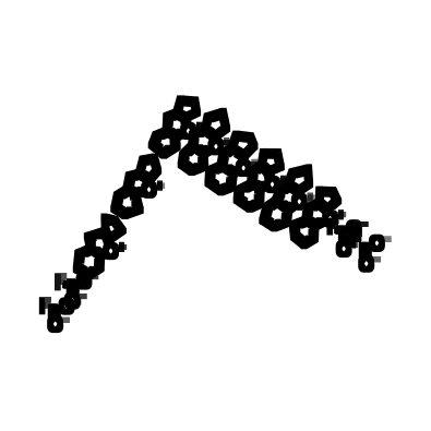 C1=Cc2cc3ccccc3[o+]c2C1.C1=Cc2cc3ccccc3[o+]c2C1.C1=Cc2cc3ccccc3[o+]c2C1.C1=Cc2cc3ccccc3[o+]c2C1.C1=Cc2cc3ccccc3[o+]c2C1.C1=Cc2cc3ccccc3[o+]c2C1.C1=Cc2cc3ccccc3[o+]c2C1.C1=Cc2cc3ccccc3[o+]c2C1.[O-]B([O-])F.[O-]B([O-])F.[O-]B([O-])F.[O-]B([O-])F